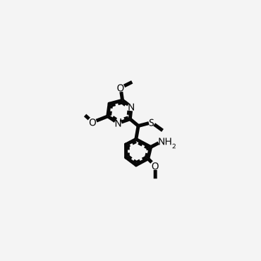 COc1cc(OC)nc(C(SC)c2cccc(OC)c2N)n1